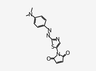 CN(C)c1ccc(N=Nc2ncc(N3C(=O)C=CC3=O)s2)cc1